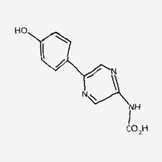 O=C(O)Nc1cnc(-c2ccc(O)cc2)cn1